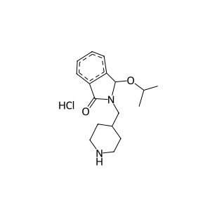 CC(C)OC1c2ccccc2C(=O)N1CC1CCNCC1.Cl